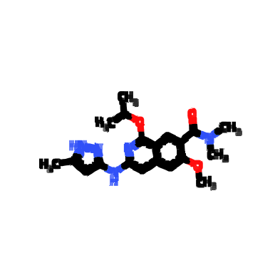 COc1cc2cc(Nc3cc(C)[nH]n3)nc(OC(C)C)c2cc1C(=O)N(C)C